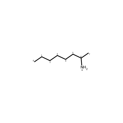 CCCC[CH]CC(C)N